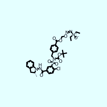 CC[N+]([O-])(CC)/N=N\OCOC(=O)c1ccc(CN(C(=O)OC(C)(C)C)S(=O)(=O)c2cc(C(=O)NN3c4ccccc4C[C@H]3C)ccc2Cl)cc1